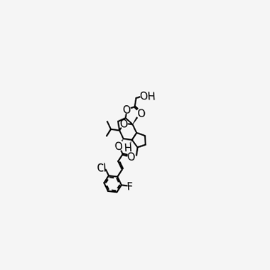 CC1CCC2[C@@H]1[C@H](OC(=O)/C=C/c1c(F)cccc1Cl)C1(C(C)C)CC(OC(=O)CO)[C@@]2(C)O1